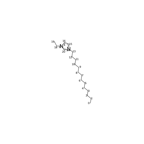 CCCCCCCCCCCCCCn1cc[n+](CC)c1